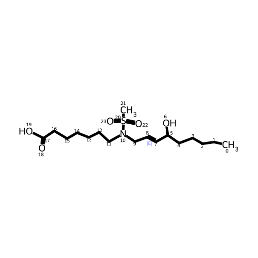 CCCCCC(O)/C=C/CN(CCCCCCC(=O)O)S(C)(=O)=O